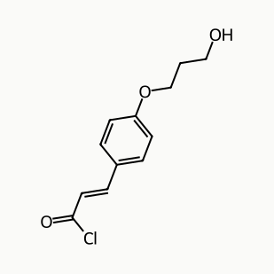 O=C(Cl)C=Cc1ccc(OCCCO)cc1